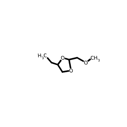 CCC1COC(COC)O1